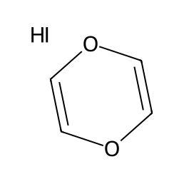 C1=COC=CO1.I